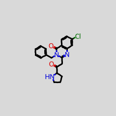 O=C(Cc1nc2cc(Cl)ccc2c(=O)n1Cc1ccccc1)C1CCCN1